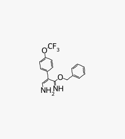 N=C(OCc1ccccc1)/C(=C\N)c1ccc(OC(F)(F)F)cc1